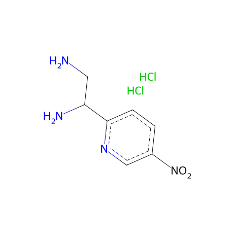 Cl.Cl.NCC(N)c1ccc([N+](=O)[O-])cn1